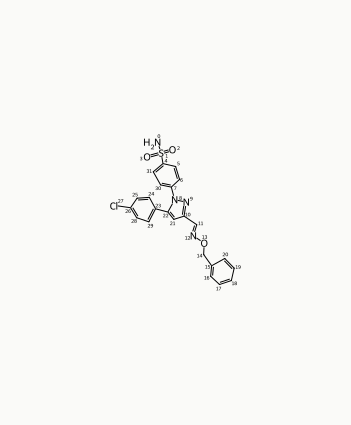 NS(=O)(=O)c1ccc(-n2nc(/C=N/OCc3ccccc3)cc2-c2ccc(Cl)cc2)cc1